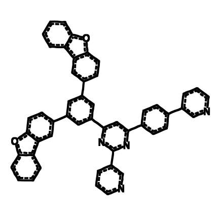 c1cncc(-c2ccc(-c3cc(-c4cc(-c5ccc6oc7ccccc7c6c5)cc(-c5ccc6oc7ccccc7c6c5)c4)nc(-c4cccnc4)n3)cc2)c1